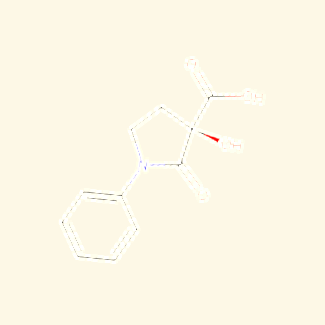 O=C(O)[C@@]1(O)CCN(c2ccccc2)C1=O